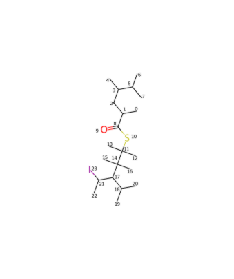 CC(CC(C)C(C)C)C(=O)SC(C)(C)C(C)(C)C(C(C)C)C(C)I